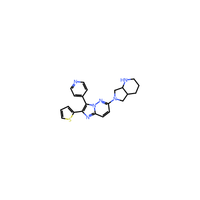 c1csc(-c2nc3ccc(N4CC5CCCNC5C4)nn3c2-c2ccncc2)c1